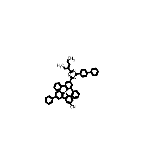 C=C/C=C(\C=C)c1nc(-c2ccc(-c3ccccc3)cc2)nc(-c2cc(-c3c#cccc3)c(-n3c4c(c5cc(C#N)ccc53)C=C(c3ccccc3)CC4)c(-c3ccccc3)c2)n1